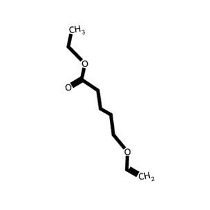 C=COCCCCC(=O)OCC